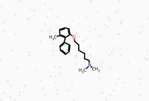 Cc1cccc(OCCCCCCN(C)C)c1-c1ccccc1